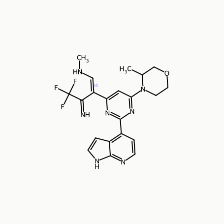 CN/C=C(\C(=N)C(F)(F)F)c1cc(N2CCOCC2C)nc(-c2ccnc3[nH]ccc23)n1